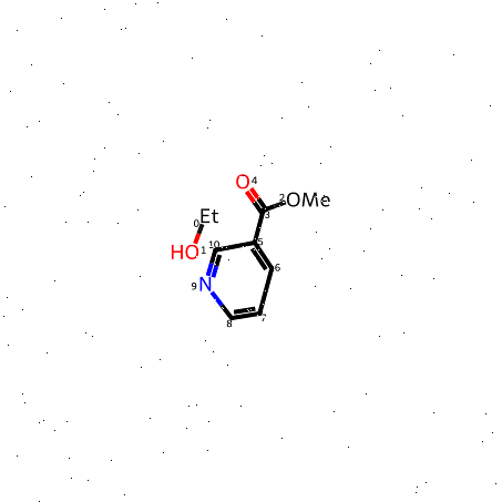 CCO.COC(=O)c1cccnc1